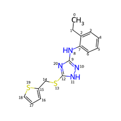 CCc1ccccc1Nc1n[nH]c(SCc2cccs2)n1